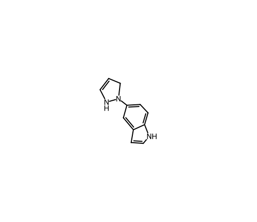 C1=CNN(c2ccc3[nH]ccc3c2)C1